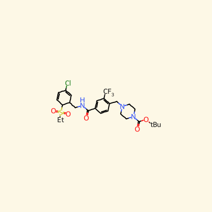 CCS(=O)(=O)C1C=CC(Cl)=CC1CNC(=O)c1ccc(CN2CCN(C(=O)OC(C)(C)C)CC2)c(C(F)(F)F)c1